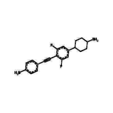 Bc1ccc(C#Cc2c(F)cc(C3CCC(B)CC3)cc2F)cc1